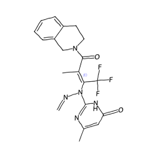 C=NN(/C(=C(\C)C(=O)N1CCc2ccccc2C1)C(F)(F)F)c1nc(C)cc(=O)[nH]1